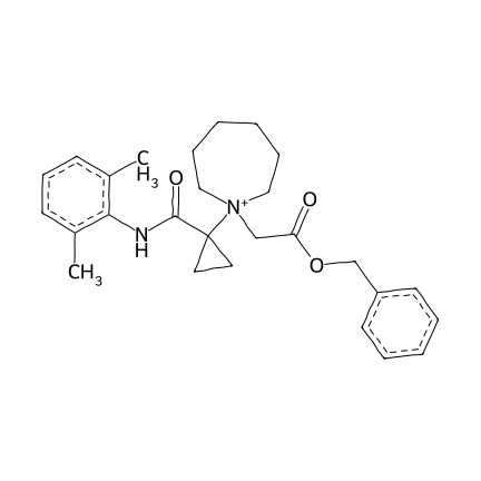 Cc1cccc(C)c1NC(=O)C1([N+]2(CC(=O)OCc3ccccc3)CCCCCC2)CC1